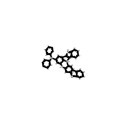 c1ccc(N(c2ccccc2)c2cc3c4c(c2)-c2sc5ccccc5c2B4c2cc4c(cc2S3)oc2ccccc24)cc1